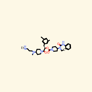 CCNCCCN(C)C1CCN(C(=O)[C@@H](Cc2cc(C)cc(C)c2)OC(=O)N2CCC(N3CCc4ccccc4NC3=O)CC2)CC1